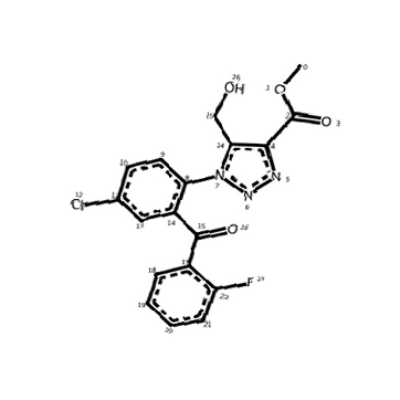 COC(=O)c1nnn(-c2ccc(Cl)cc2C(=O)c2ccccc2F)c1CO